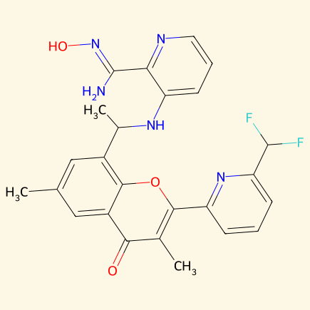 Cc1cc(C(C)Nc2cccnc2C(N)=NO)c2oc(-c3cccc(C(F)F)n3)c(C)c(=O)c2c1